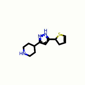 C1=CSC(c2cc(C3CCNCC3)n[nH]2)C1